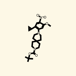 COc1cc(N2CCC3(CCN(C(=O)OC(C)(C)C)CC3)CC2)c(C2CC2)cc1[N+](=O)[O-]